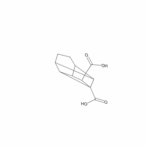 O=C(O)C12C3CCC4C5C3C1C5(C(=O)O)C42